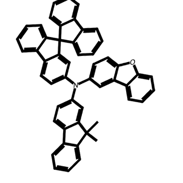 CC1(C)c2ccccc2-c2ccc(N(c3ccc4c(c3)C3(c5ccccc5-c5ccccc53)c3ccccc3-4)c3ccc4oc5ccccc5c4c3)cc21